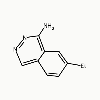 CCc1ccc2cnnc(N)c2c1